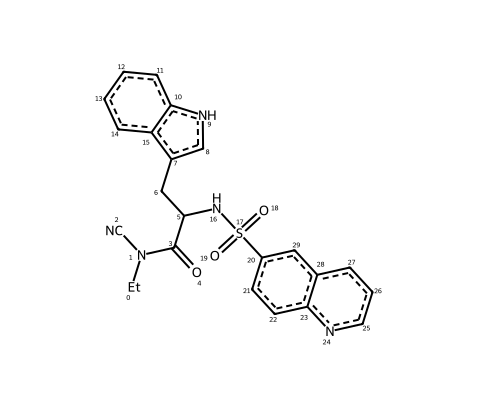 CCN(C#N)C(=O)C(Cc1c[nH]c2ccccc12)NS(=O)(=O)c1ccc2ncccc2c1